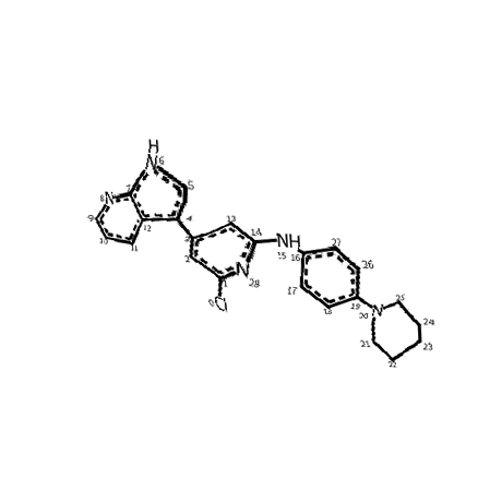 Clc1cc(-c2c[nH]c3ncccc23)cc(Nc2ccc(N3CCCCC3)cc2)n1